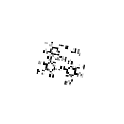 O.OC[C@H]1OC(OC[C@H]2OC(O[C@]3(CO)O[C@H](CO)[C@@H](O)[C@@H]3O)[C@H](O)[C@@H](O)[C@@H]2O)[C@H](O)[C@@H](O)[C@H]1O